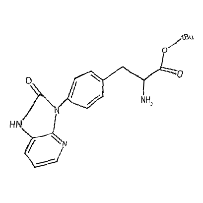 CC(C)(C)OC(=O)C(N)Cc1ccc(-n2c(=O)[nH]c3cccnc32)cc1